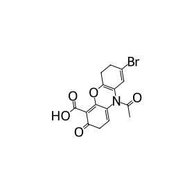 CC(=O)N1C2=CCC(=O)C(C(=O)O)=C2OC2=C1C=C(Br)CC2